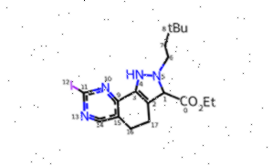 CCOC(=O)C1C2=C(NN1CCC(C)(C)C)c1nc(I)ncc1CC2